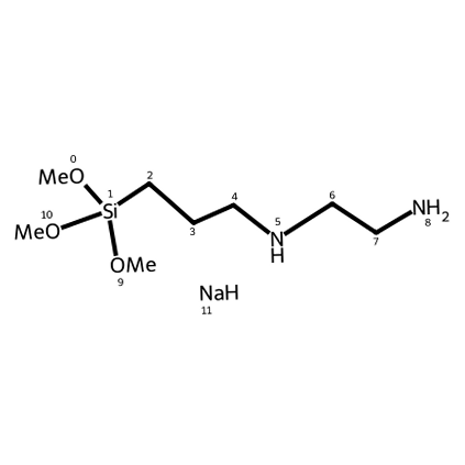 CO[Si](CCCNCCN)(OC)OC.[NaH]